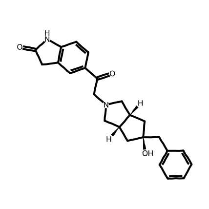 O=C1Cc2cc(C(=O)CN3C[C@@H]4C[C@](O)(Cc5ccccc5)C[C@@H]4C3)ccc2N1